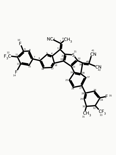 C/C(C#N)=C1/c2cc(-c3cc(F)c(C(F)(F)F)c(F)c3)ccc2-c2c1sc1c2-c2ccc(C3=CC(C)C(C(F)(F)F)C(F)=C3)cc2C1=C(C#N)C#N